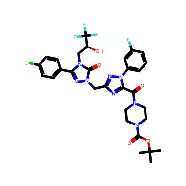 CC(C)(C)OC(=O)N1CCN(C(=O)c2nc(Cn3nc(-c4ccc(Cl)cc4)n(C[C@H](O)C(F)(F)F)c3=O)nn2-c2cccc(F)c2)CC1